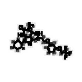 CSCC(=O)Nc1c2c(nn1C1CCCCC1)CC(CCOc1cccc(OCC(F)(F)F)c1)NC2=O